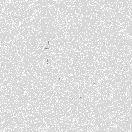 CC(C)(C)CN1CCCNCC1